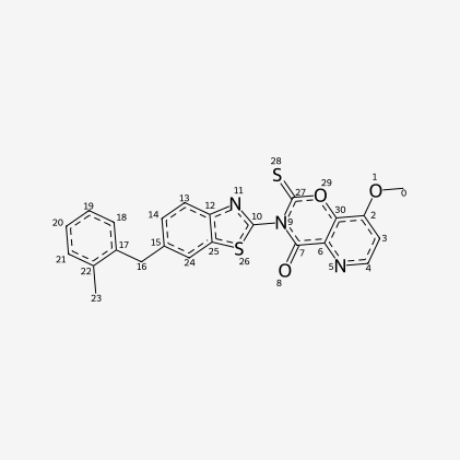 COc1ccnc2c(=O)n(-c3nc4ccc(Cc5ccccc5C)cc4s3)c(=S)oc12